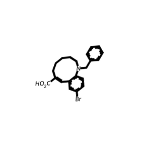 O=C(O)C1=Cc2cc(Br)ccc2N(Cc2ccccc2)CCCCC1